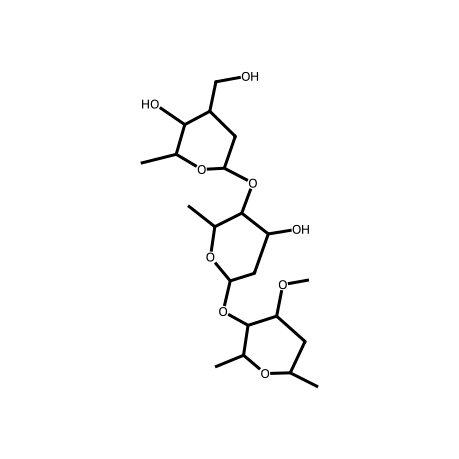 COC1CC(C)OC(C)C1OC1CC(O)C(OC2CC(CO)C(O)C(C)O2)C(C)O1